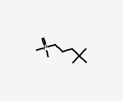 C=P(C)(C)CCCC(C)(C)C